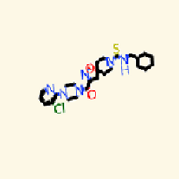 O=C(C1=NOC2(CCN(C(=S)NCC3CCCCC3)CC2)C1)N1CCN(c2ncccc2Cl)CC1